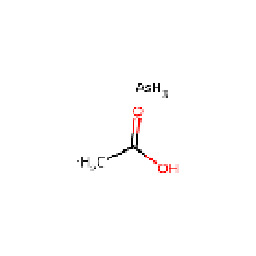 [AsH3].[CH2]C(=O)O